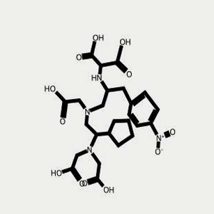 O=C(O)CN(CC(Cc1ccc([N+](=O)[O-])cc1)NC(C(=O)O)C(=O)O)CC(C1CCCC1)N(CC(=O)O)CC(=O)O